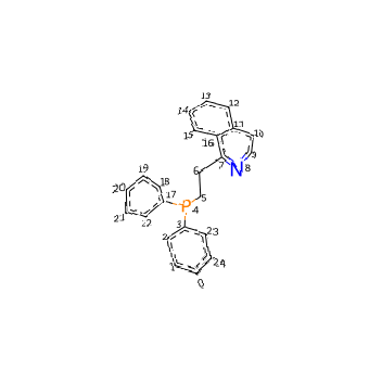 c1ccc(P(CCc2nccc3ccccc23)c2ccccc2)cc1